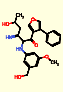 COc1cc(CO)cc(NC(C(=N)CC(C)O)C(=O)c2cocc2-c2ccccc2)c1